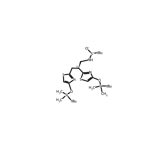 CC(C)(C)[S+]([O-])NC[C@H](Cc1nc(O[Si](C)(C)C(C)(C)C)cs1)c1nc(O[Si](C)(C)C(C)(C)C)cs1